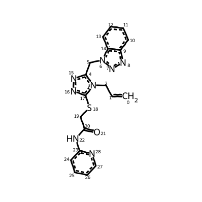 C=CCn1c(Cn2nnc3ccccc32)nnc1SCC(=O)Nc1ccccn1